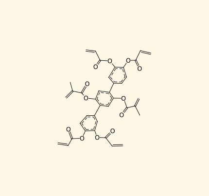 C=CC(=O)Oc1ccc(-c2cc(OC(=O)C(=C)C)c(-c3ccc(OC(=O)C=C)c(OC(=O)C=C)c3)cc2OC(=O)C(=C)C)cc1OC(=O)C=C